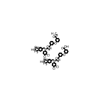 COC(=O)c1cccc(Oc2cccc(-c3nnc(N(Cc4ccc(C(F)(F)P(=O)(O)O)cc4)c4ccc(Cl)c(Cl)c4)o3)c2)c1.O=C(O)c1cccc(Oc2cccc(-c3nnc(N(Cc4ccc(C(F)(F)P(=O)(O)O)cc4)c4ccc(Cl)c(Cl)c4)o3)c2)c1